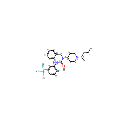 CCCC(C)N1CCC(N(Cc2ccccc2)C(=O)Nc2cc(C(F)(F)F)ccc2F)CC1